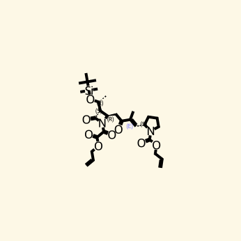 C=CCOC(=O)C(=O)N1C(=O)[C@H]([C@@H](C)O[Si](C)(C)C(C)(C)C)[C@H]1CC(=O)/C(C)=C/[C@@H]1CCCN1C(=O)OCC=C